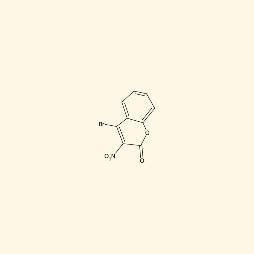 O=c1oc2ccccc2c(Br)c1[N+](=O)[O-]